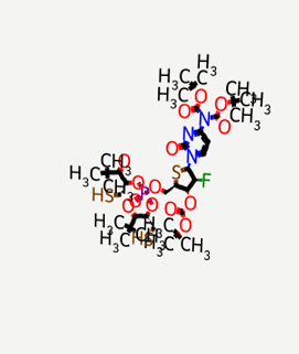 CC(C)(C)OC(=O)O[C@H]1[C@H](F)[C@H](n2ccc(N(C(=O)OC(C)(C)C)C(=O)OC(C)(C)C)nc2=O)S[C@@H]1COP(=O)(O[C@H](CS)C(=O)C(C)(C)C)O[C@H](CS)C(=O)C(C)(C)C